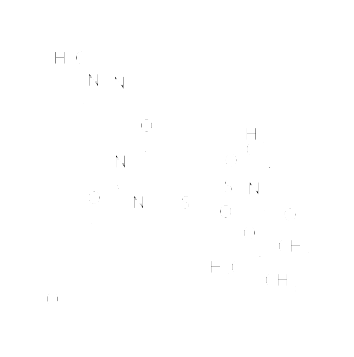 Cn1cc(Cn2c(=O)c3cc(S(=O)(=O)N(C(=O)OC(C)(C)C)C4(C)CC4)sc3n(Cc3ccc4c(c3)COC4)c2=O)cn1